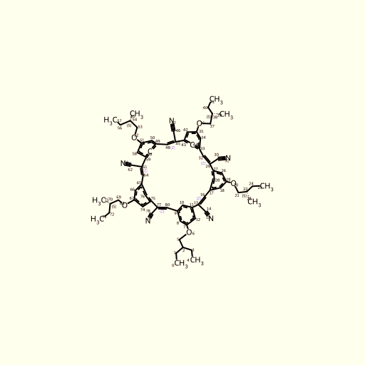 CCC(CC)COc1cc2cc(c1)/C(C#N)=C/c1cc(OC[C@@H](C)CC)cc(c1)/C(C#N)=C/c1cc(OC[C@@H](C)CC)cc(c1)/C(C#N)=C/c1cc(OC[C@@H](C)CC)cc(c1)/C(C#N)=C/c1cc(OC[C@@H](C)CC)cc(c1)/C(C#N)=C/2